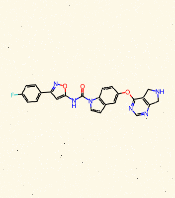 O=C(Nc1cc(-c2ccc(F)cc2)no1)n1ccc2cc(Oc3ncnc4c3CNC4)ccc21